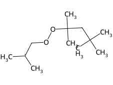 C[C](C)COOC(C)(C)CC(C)(C)C